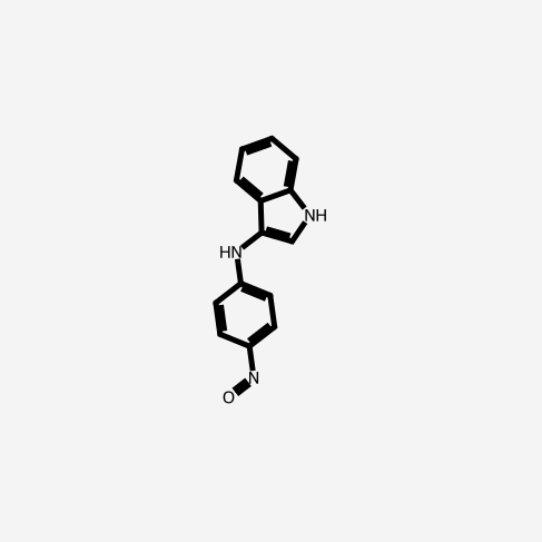 O=Nc1ccc(Nc2c[nH]c3ccccc23)cc1